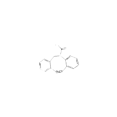 CCCC(=O)N1Cc2ccccc2C#Cc2ccccc21